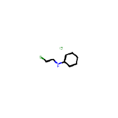 Cl.ClCCNC1CCCCC1